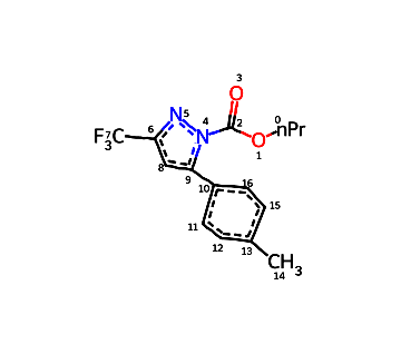 CCCOC(=O)n1nc(C(F)(F)F)cc1-c1ccc(C)cc1